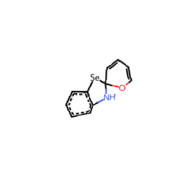 C1=COC2(C=C1)Nc1ccccc1[Se]2